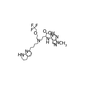 Cn1ncc2c(NC(CCN(CCCCc3ccc4c(n3)NCCC4)CCOCC(F)(F)F)C(=O)O)ncnc21